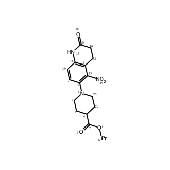 CC(C)OC(=O)C1CCN(c2ccc3c(c2[N+](=O)[O-])CCC(=O)N3)CC1